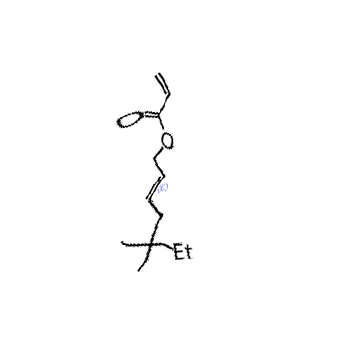 C=CC(=O)OC/C=C/CC(C)(C)CC